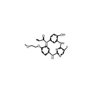 C=CC(=O)Nc1ccc(O)c(Nc2nc(Nc3ccc(OCCOC)cc3)ncc2F)c1